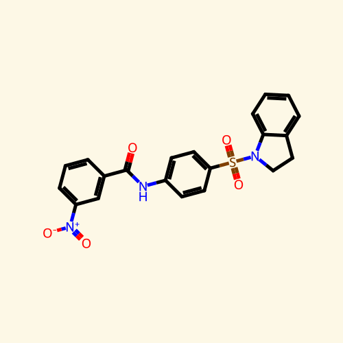 O=C(Nc1ccc(S(=O)(=O)N2CCc3ccccc32)cc1)c1cccc([N+](=O)[O-])c1